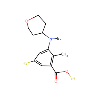 CCN(c1cc(S)cc(C(=O)OS)c1C)C1CCOCC1